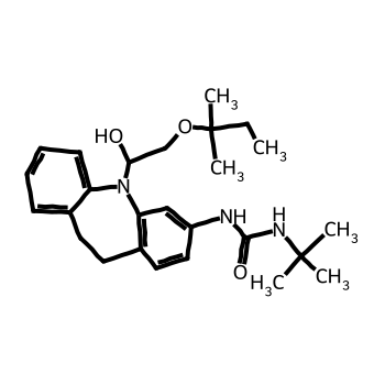 CCC(C)(C)OCC(O)N1c2ccccc2CCc2ccc(NC(=O)NC(C)(C)C)cc21